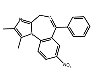 Cc1nc2n(c1C)-c1ccc([N+](=O)[O-])cc1C(c1ccccc1)=NC2